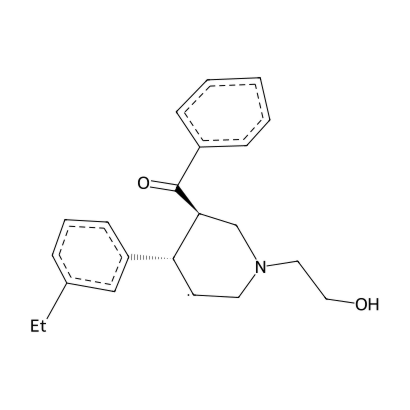 CCc1cccc([C@H]2[CH]CN(CCO)C[C@@H]2C(=O)c2ccccc2)c1